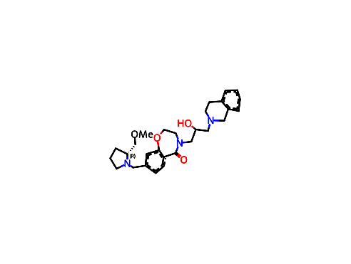 COC[C@H]1CCCN1Cc1ccc2c(c1)OCCN(CC(O)CN1CCc3ccccc3C1)C2=O